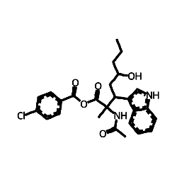 CCCC(O)CC(c1c[nH]c2ccccc12)C(C)(NC(C)=O)C(=O)OC(=O)c1ccc(Cl)cc1